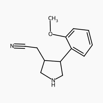 COc1ccccc1C1CNCC1CC#N